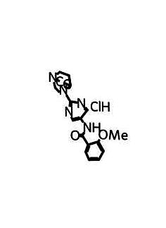 COc1ccccc1C(=O)Nc1cnc(N2CCN3CCC2CC3)nc1.Cl